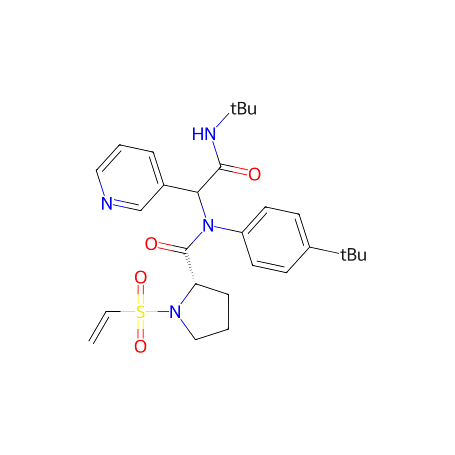 C=CS(=O)(=O)N1CCC[C@H]1C(=O)N(c1ccc(C(C)(C)C)cc1)C(C(=O)NC(C)(C)C)c1cccnc1